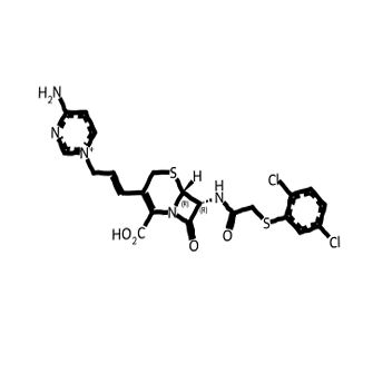 Nc1cc[n+](CC=CC2=C(C(=O)O)N3C(=O)[C@@H](NC(=O)CSc4cc(Cl)ccc4Cl)[C@H]3SC2)cn1